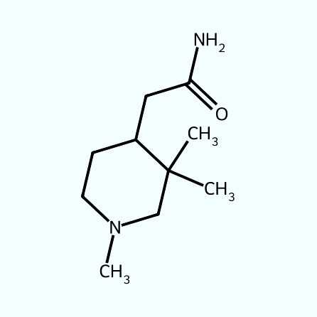 CN1CCC(CC(N)=O)C(C)(C)C1